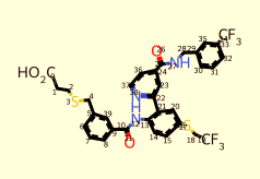 O=C(O)CCSCc1cccc(C(=O)Nc2ccc(SCC(F)(F)F)cc2-c2cc(C(=O)NCc3cccc(C(F)(F)F)c3)ccn2)c1